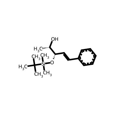 C[C@H](O)[C@H](/C=C/c1ccccc1)O[Si](C)(C)C(C)(C)C